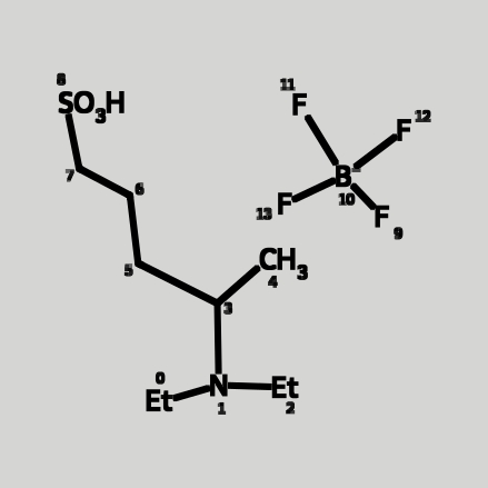 CCN(CC)C(C)CCCS(=O)(=O)O.F[B-](F)(F)F